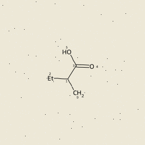 [CH2]C([CH]C)C(=O)O